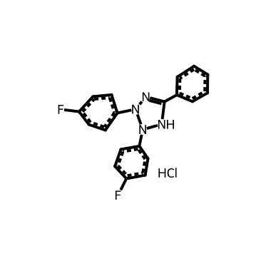 Cl.Fc1ccc(N2N=C(c3ccccc3)NN2c2ccc(F)cc2)cc1